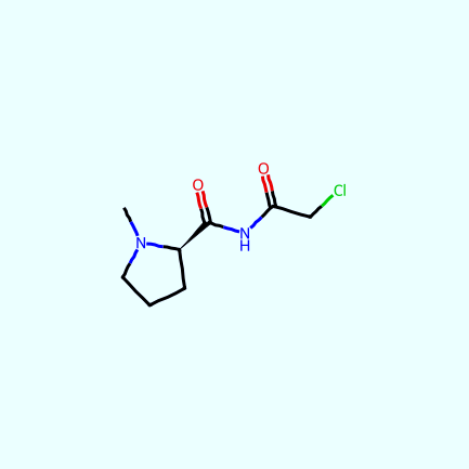 CN1CCC[C@@H]1C(=O)NC(=O)CCl